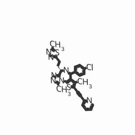 Cc1nnc(CC[C@@H]2N=C(c3ccc(Cl)cc3)c3c(sc(C#Cc4ccccn4)c3C)-n3c(C)nnc32)s1